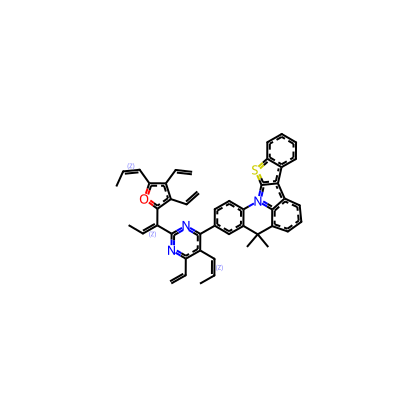 C=Cc1nc(/C(=C/C)c2oc(/C=C\C)c(C=C)c2C=C)nc(-c2ccc3c(c2)C(C)(C)c2cccc4c5c6ccccc6sc5n-3c24)c1/C=C\C